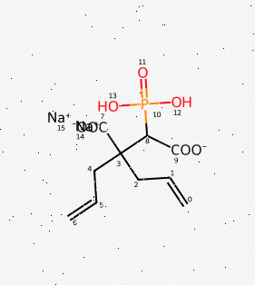 C=CCC(CC=C)(C(=O)[O-])C(C(=O)[O-])P(=O)(O)O.[Na+].[Na+]